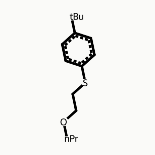 CCCOCCSc1ccc(C(C)(C)C)cc1